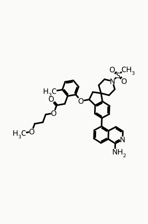 COCCCOC(=O)Cc1c(C)cccc1OC1CC2(CCN(S(C)(=O)=O)CC2)c2ccc(-c3cccc4c(N)nccc34)cc21